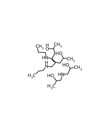 CC(O)CNCC(C)O.CCCNCC(CC(C)O)=C(CC(C)O)NCCC